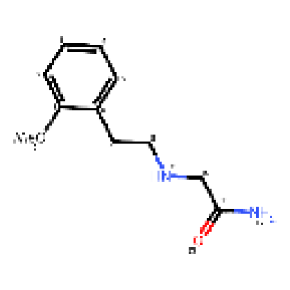 COc1ccccc1CCNCC(N)=O